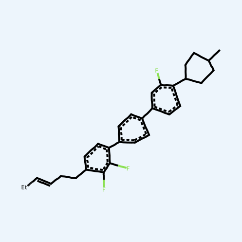 CC/C=C/CCc1ccc(-c2ccc(-c3ccc(C4CCC(C)CC4)c(F)c3)cc2)c(F)c1F